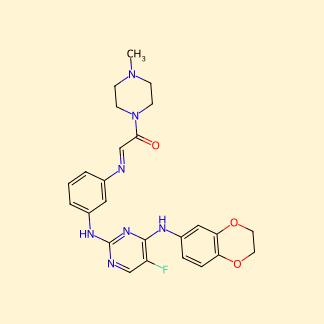 CN1CCN(C(=O)C=Nc2cccc(Nc3ncc(F)c(Nc4ccc5c(c4)OCCO5)n3)c2)CC1